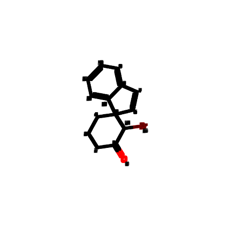 O=C1CCCC2(C=Cc3ccccc32)C1Br